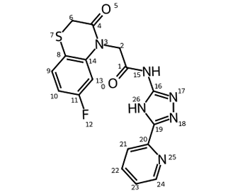 O=C(CN1C(=O)CSc2ccc(F)cc21)Nc1nnc(-c2ccccn2)[nH]1